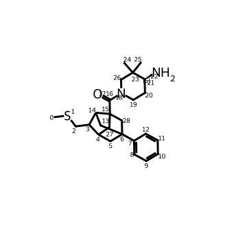 CSCC1C2CC3(c4ccccc4)CC1C(C(=O)N1CC[C@H](N)C(C)(C)C1)(C2)C3